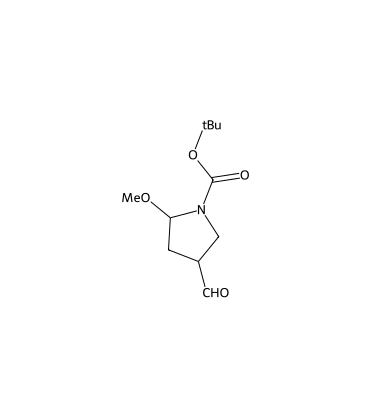 COC1CC(C=O)CN1C(=O)OC(C)(C)C